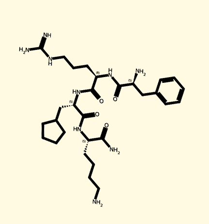 N=C(N)NCCC[C@@H](NC(=O)[C@@H](N)Cc1ccccc1)C(=O)N[C@@H](CC1CCCC1)C(=O)N[C@@H](CCCCN)C(N)=O